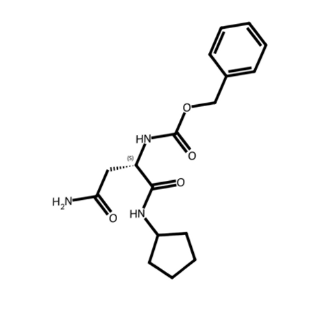 NC(=O)C[C@H](NC(=O)OCc1ccccc1)C(=O)NC1CCCC1